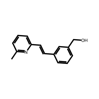 Cc1cccc(C=Cc2cccc(CO)c2)n1